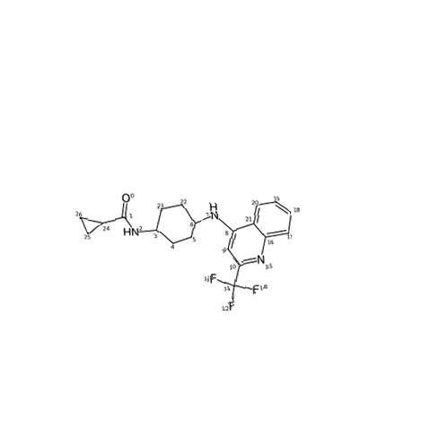 O=C(NC1CCC(Nc2cc(C(F)(F)F)nc3ccccc23)CC1)C1CC1